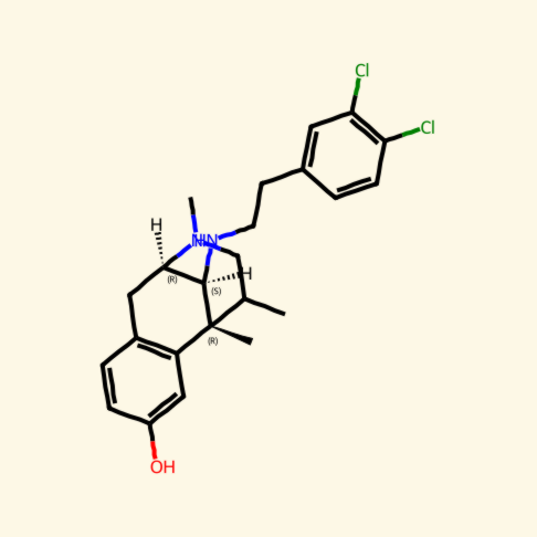 CC1CN(C)[C@@H]2Cc3ccc(O)cc3[C@]1(C)[C@@H]2NCCc1ccc(Cl)c(Cl)c1